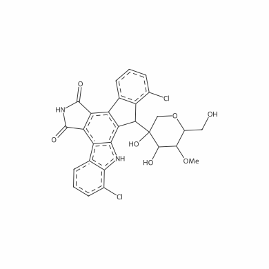 COC1C(CO)OCC(O)(C2c3c(Cl)cccc3-c3c4c(c5c([nH]c6c(Cl)cccc65)c32)C(=O)NC4=O)C1O